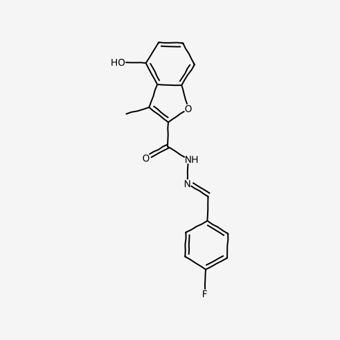 Cc1c(C(=O)NN=Cc2ccc(F)cc2)oc2cccc(O)c12